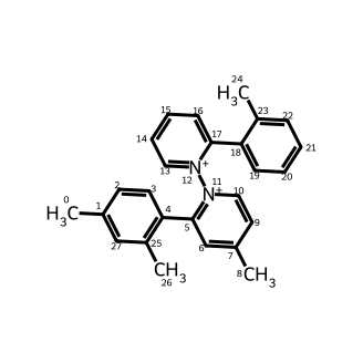 Cc1ccc(-c2cc(C)cc[n+]2-[n+]2ccccc2-c2ccccc2C)c(C)c1